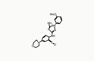 COc1cccc(-n2nc(NC3C=CC(N4CCOCC4)=CC3=C=O)nc2N)c1